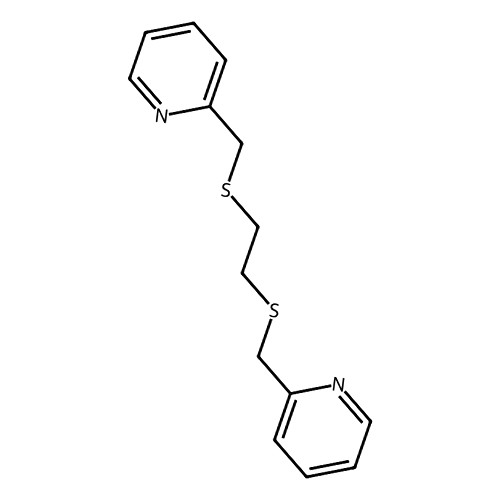 c1ccc(CSCCSCc2ccccn2)nc1